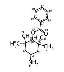 CC1(C)CC(N)CC(C)(C)C1OC(=O)c1ccccc1